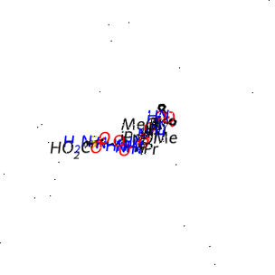 CC[C@H](C)[C@@H]([C@@H](CC(=O)N1CCC[C@H]1[C@H](OC)[C@@H](C)C(=O)N[C@@H](Cc1ccccc1)C(=O)NCc1ccccc1)OC)N(C)C(=O)[C@@H](NC(=O)[C@H](C(C)C)N(C)CCCC(=O)NNC(=O)CCCCCN1C(=O)CC(SC[C@H](N)C(=O)O)C1=O)C(C)C